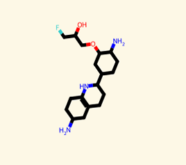 NC1CCC2=C(CCC(C3CCC(N)C(OCC(O)CF)C3)N2)C1